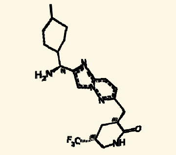 CC1CCC([C@H](N)c2cn3nc(C[C@@H]4C[C@@H](C(F)(F)F)CNC4=O)ccc3n2)CC1